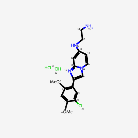 COc1cc(OC)c(-c2cn3ccc(NCCN)cc3n2)cc1Cl.Cl.Cl